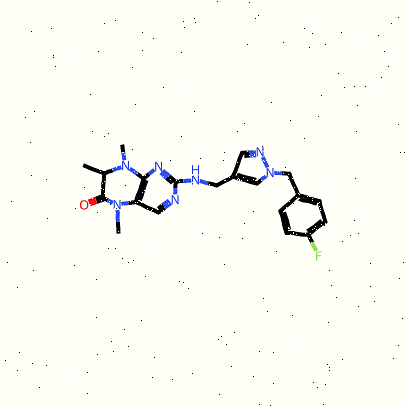 CC1C(=O)N(C)c2cnc(NCc3cnn(Cc4ccc(F)cc4)c3)nc2N1C